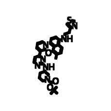 Cc1ccc2c(NCCc3cscn3)cccc2c1Oc1ncccc1-c1ccnc(NC2CCCN(C(=O)OC(C)(C)C)C2)n1